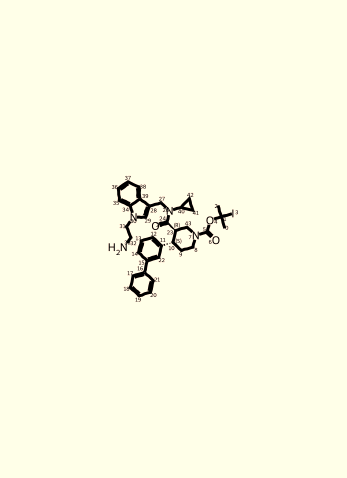 CC(C)(I)OC(=O)N1CC[C@H](c2cccc(-c3ccccc3)c2)[C@@H](C(=O)N(Cc2cn(CCN)c3ccccc23)C2CC2)C1